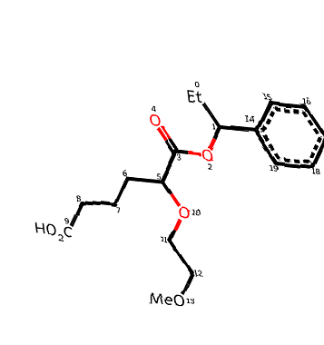 CCC(OC(=O)C(CCCC(=O)O)OCCOC)c1ccccc1